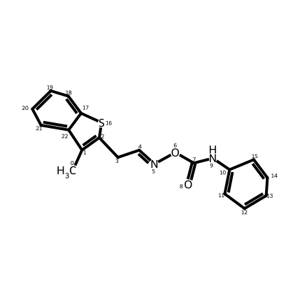 Cc1c(CC=NOC(=O)Nc2ccccc2)sc2ccccc12